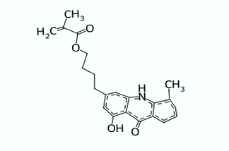 C=C(C)C(=O)OCCCCc1cc(O)c2c(=O)c3cccc(C)c3[nH]c2c1